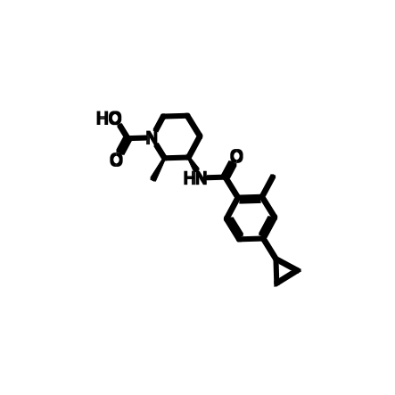 Cc1cc(C2CC2)ccc1C(=O)N[C@@H]1CCCN(C(=O)O)[C@@H]1C